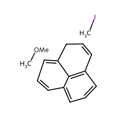 C1=Cc2cccc3cccc(c23)C1.CI.COC